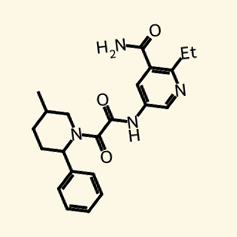 CCc1ncc(NC(=O)C(=O)N2CC(C)CCC2c2ccccc2)cc1C(N)=O